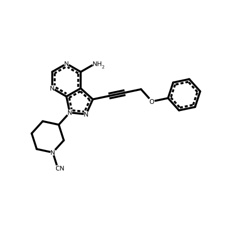 N#CN1CCCC(n2nc(C#CCOc3ccccc3)c3c(N)ncnc32)C1